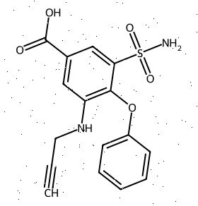 C#CCNc1cc(C(=O)O)cc(S(N)(=O)=O)c1Oc1ccccc1